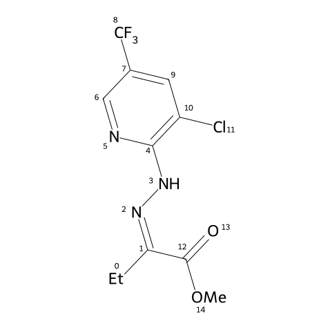 CCC(=NNc1ncc(C(F)(F)F)cc1Cl)C(=O)OC